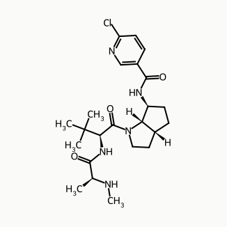 CN[C@@H](C)C(=O)N[C@H](C(=O)N1CC[C@H]2CC[C@H](NC(=O)c3ccc(Cl)nc3)[C@H]21)C(C)(C)C